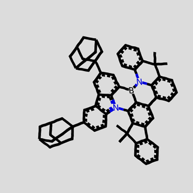 CC1(C)c2ccccc2N2B3c4c(cc5c(c4-n4c6ccc(C78CC9CC(CC(C9)C7)C8)cc6c6cc(C78CC9CC(CC(C9)C7)C8)cc3c64)C(C)(C)c3ccccc3-5)-c3cccc1c32